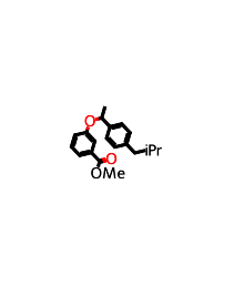 COC(=O)c1cccc(OC(C)c2ccc(CC(C)C)cc2)c1